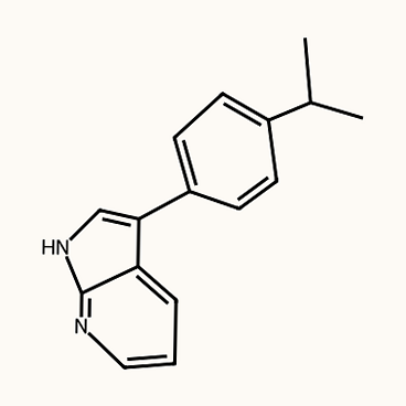 CC(C)c1ccc(-c2c[nH]c3ncccc23)cc1